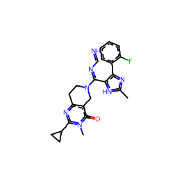 Cc1nc(-c2ccccc2F)c(/C(=N\C=N)N2CCc3nc(C4CC4)n(C)c(=O)c3C2)[nH]1